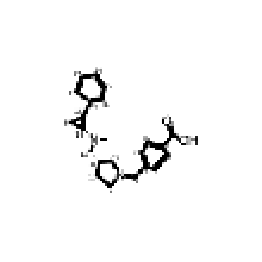 O=C(O)c1ccc(CN2CC[C@H](CN[C@@H]3CC3c3ccccc3)C2)cc1